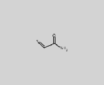 NC(=O)[C]=S